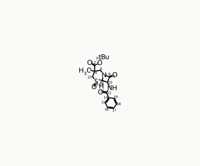 CC(C)(C)OC(=O)C1(C)CN2C(=O)C(NC(=O)c3ccccc3)[C@H]2[S+]([O-])C1